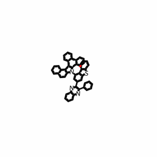 c1ccc(-c2nc3ccccc3nc2-c2cc(-n3c4ccc5ccccc5c4c4c5ccccc5c5ccccc5c43)c3c(c2)sc2ccccc23)cc1